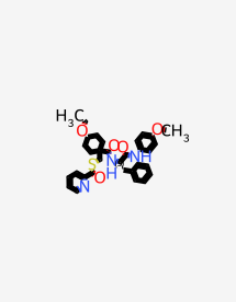 CCOC1CCC(CSC(=O)c2ccccn2)(C(=O)N[C@@H](Cc2ccccc2)C(=O)Nc2ccc(OC)cc2)CC1